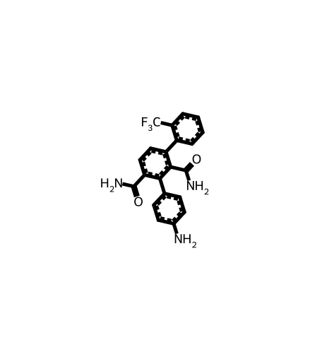 NC(=O)c1ccc(-c2ccccc2C(F)(F)F)c(C(N)=O)c1-c1ccc(N)cc1